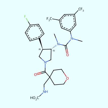 CN(C(=O)N(C)[C@@H]1CN(C(=O)C2(CNC(=O)O)CCOCC2)C[C@H]1c1ccc(F)cc1)c1cc(C(F)(F)F)cc(C(F)(F)F)c1